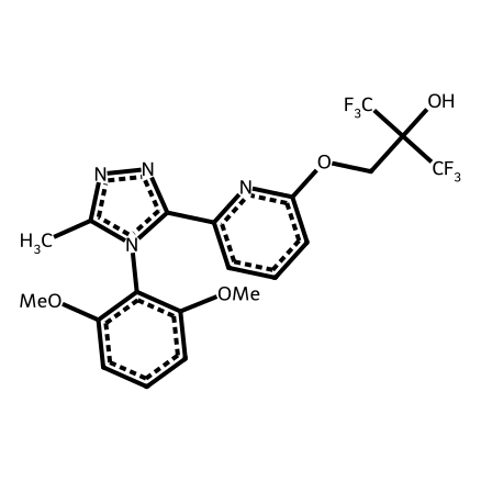 COc1cccc(OC)c1-n1c(C)nnc1-c1cccc(OCC(O)(C(F)(F)F)C(F)(F)F)n1